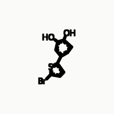 Oc1ccc(-c2ccc(Br)s2)cc1O